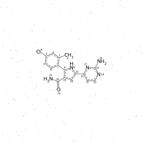 Cc1cc(Cl)ccc1-c1[nH]c(-c2ccnc(N)n2)cc1C(N)=O